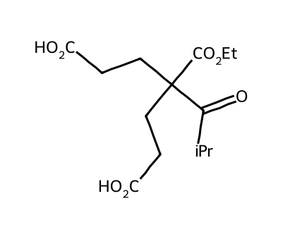 CCOC(=O)C(CCC(=O)O)(CCC(=O)O)C(=O)C(C)C